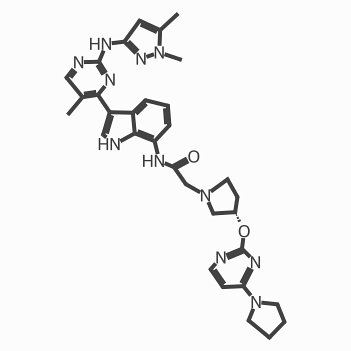 Cc1cnc(Nc2cc(C)n(C)n2)nc1-c1c[nH]c2c(NC(=O)CN3CC[C@H](Oc4nccc(N5CCCC5)n4)C3)cccc12